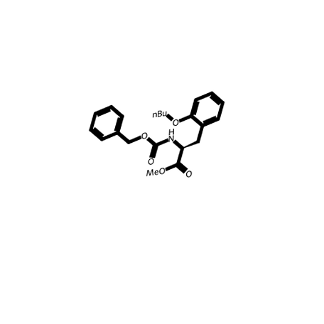 CCCCOc1ccccc1C[C@H](NC(=O)OCc1ccccc1)C(=O)OC